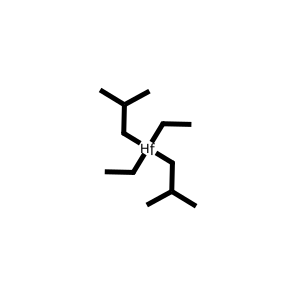 C[CH2][Hf]([CH2]C)([CH2]C(C)C)[CH2]C(C)C